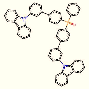 O=P(c1ccccc1)(c1ccc(-c2cccc(-n3c4ccccc4c4ccccc43)c2)cc1)c1ccc(-c2cccc(-n3c4ccccc4c4ccccc43)c2)cc1